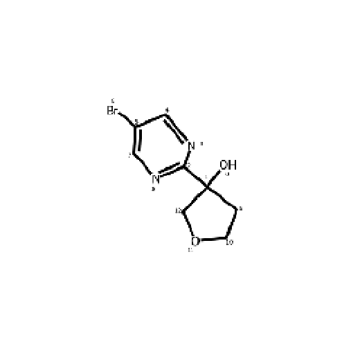 OC1(c2ncc(Br)cn2)CCOC1